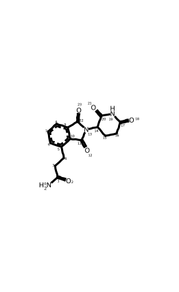 NC(=O)CCc1cccc2c1C(=O)N(C1CCC(=O)NC1=O)C2=O